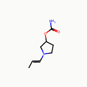 CC=CN1CCC(OC(N)=O)C1